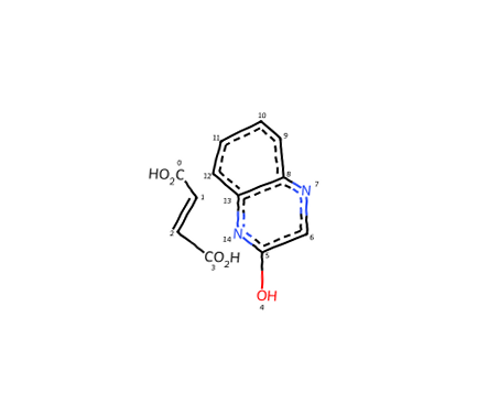 O=C(O)C=CC(=O)O.Oc1cnc2ccccc2n1